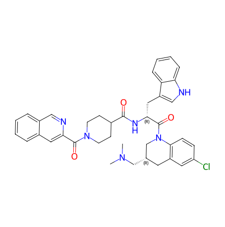 CN(C)C[C@H]1Cc2cc(Cl)ccc2N(C(=O)[C@@H](Cc2c[nH]c3ccccc23)NC(=O)C2CCN(C(=O)c3cc4ccccc4cn3)CC2)C1